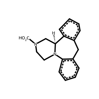 O=C(O)N1CCN2c3ccccc3Cc3ccccc3[C@@H]2C1